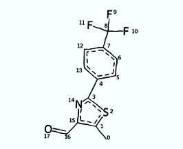 Cc1sc(-c2ccc(C(F)(F)F)cc2)nc1C=O